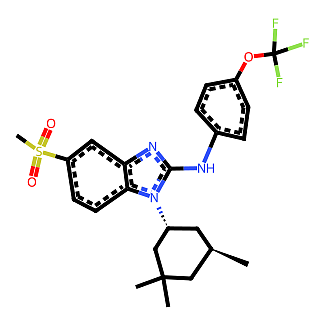 C[C@@H]1C[C@@H](n2c(Nc3ccc(OC(F)(F)F)cc3)nc3cc(S(C)(=O)=O)ccc32)CC(C)(C)C1